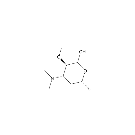 C[C@@H]1C[C@H](N(C)C)[C@@H](OI)C(O)O1